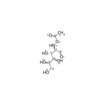 CC(=O)ON[C@@H](C=O)[C@@H](O)[C@@H](O)[C@H](O)CO